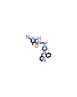 Cc1cc(C#N)nc(C)c1C(=O)NCC[C@@H](C)N1CCC(N(Cc2cccnc2)c2ccccc2)CC1